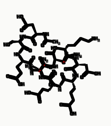 CC(=O)N[C@H](CC(=O)O)C(=O)N[C@H](CO)C(=O)N[C@H](CCC(=O)O)C(=O)N[C@H](CC(=O)O)C(=O)N[C@H](CC(N)=O)C(=O)N[C@H](CCCCN)C(=O)N[C@H](CC(=O)O)C(=O)N[C@H](CCCC(=O)O)C(=O)N[C@H](CCC(=O)O)C(=O)N[C@H](C)C(N)=O